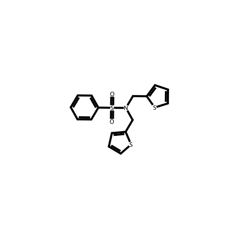 O=S(=O)(c1ccccc1)N(Cc1cccs1)Cc1cccs1